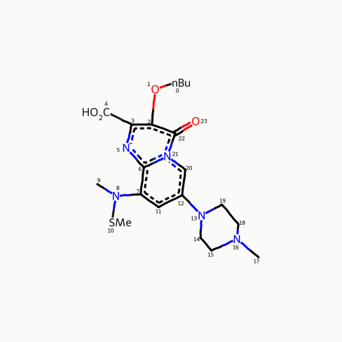 CCCCOc1c(C(=O)O)nc2c(N(C)SC)cc(N3CCN(C)CC3)cn2c1=O